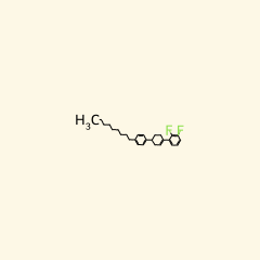 CCCCCCCCCc1ccc(C2CC=C(c3cccc(F)c3F)CC2)cc1